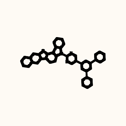 c1ccc(-c2cc(-c3ccccc3)cc(-c3cnc(-n4c5ccccc5c5c6oc7cc8ccccc8cc7c6ccc54)nc3)c2)cc1